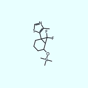 Cc1ncsc1C12CCCC(O[Si](C)(C)C)C1C2(F)F